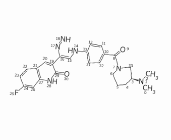 CN(C)[C@H]1CCCN(C(=O)c2ccc(N/C=C(\N=N)c3cc4ccc(F)cc4[nH]c3=O)cc2)C1